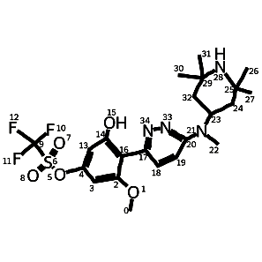 COc1cc(OS(=O)(=O)C(F)(F)F)cc(O)c1-c1ccc(N(C)C2CC(C)(C)NC(C)(C)C2)nn1